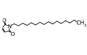 CCCCCCCCCCCCCCCCN1C(=O)C=CC1=O